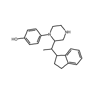 CC(C1CCc2ccccc21)C1CNCCN1c1ccc(O)cc1